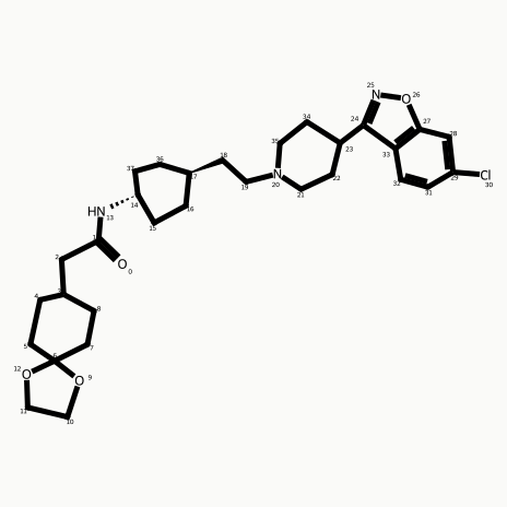 O=C(CC1CCC2(CC1)OCCO2)N[C@H]1CC[C@H](CCN2CCC(c3noc4cc(Cl)ccc34)CC2)CC1